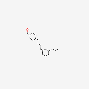 CCCC1CCCC(CCCCC2CCC(C=O)CC2)C1